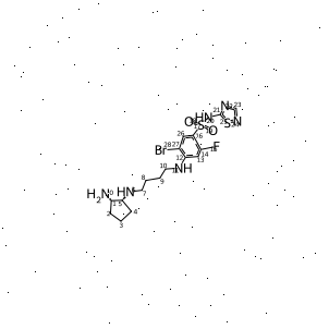 N[C@@H]1CCC[C@@H]1NCCCCNc1cc(F)c(S(=O)(=O)Nc2ncns2)cc1Br